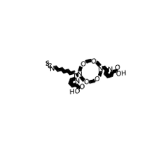 O=C(O)c1cccc(CN2CCOCCOCCN(N(CCCCCCCN=C=S)c3cccc(C(=O)O)n3)CCOCCOCC2)n1